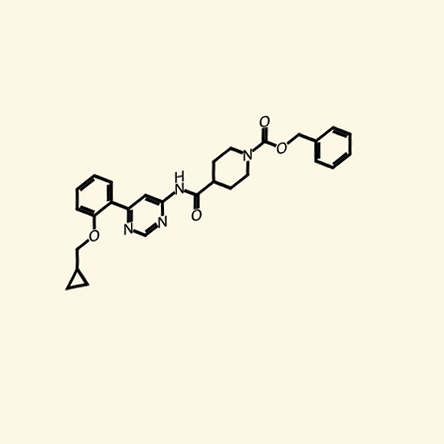 O=C(Nc1cc(-c2ccccc2OCC2CC2)ncn1)C1CCN(C(=O)OCc2ccccc2)CC1